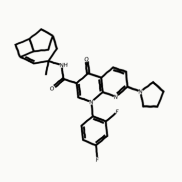 CC1(NC(=O)c2cn(-c3ccc(F)cc3F)c3nc(N4CCCC4)ccc3c2=O)C=C2CC3CC(CC23)C1